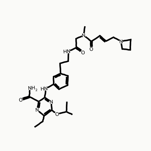 CCc1nc(C(N)=O)c(Nc2cccc(CCNC(=O)CN(C)C(=O)C=CCN3CCC3)c2)nc1OC(C)C